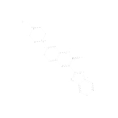 CN1CCN(c2ccc3cc(-c4nc5ccccc5o4)c(=O)oc3c2)CC1